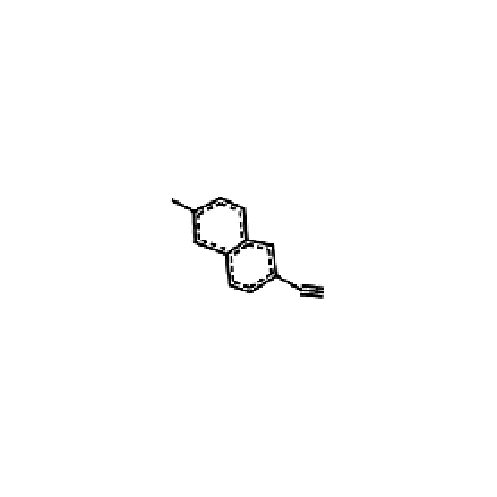 C#Cc1ccc2cc(C)ccc2c1